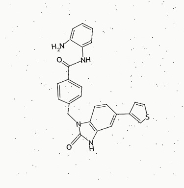 Nc1ccccc1NC(=O)c1ccc(Cn2c(=O)[nH]c3cc(-c4ccsc4)ccc32)cc1